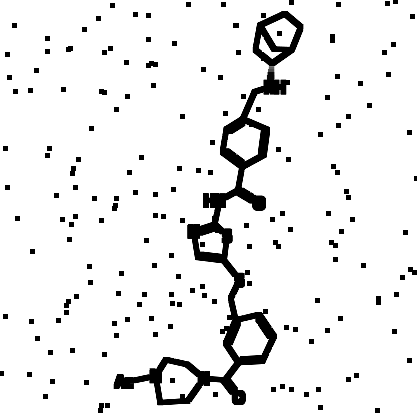 CC(=O)N1CCN(C(=O)c2cccc(CSc3cnc(NC(=O)c4ccc(CN[C@@H]5CC6CCC5C6)cc4)s3)c2)CC1